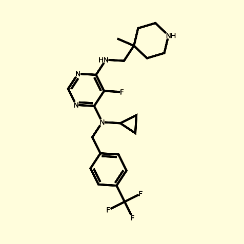 CC1(CNc2ncnc(N(Cc3ccc(C(F)(F)F)cc3)C3CC3)c2F)CCNCC1